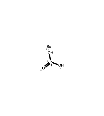 O=[PH](O)O.[Ru]